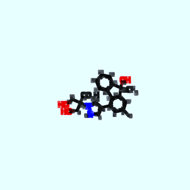 Cc1cc(-c2cnn(C(CO)(CO)C(=O)O)c2)c2c(c1)C(O)(C(F)(F)F)c1ccccc1-2